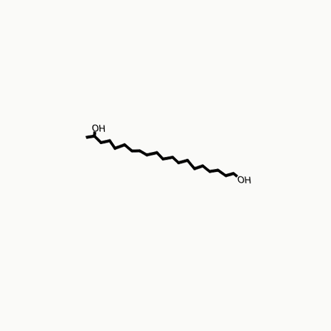 CC(O)CCCCCCCCCCCCCCCCCCO